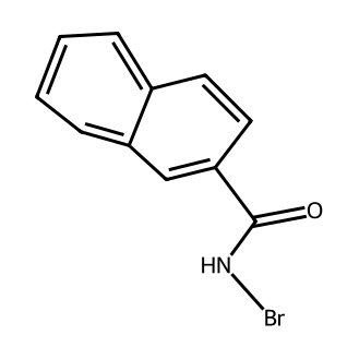 O=C(NBr)c1ccc2ccccc2c1